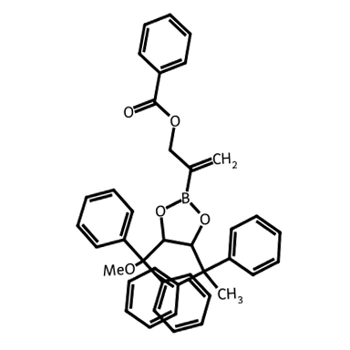 C=C(COC(=O)c1ccccc1)B1OC(C(C)(c2ccccc2)c2ccccc2)C(C(OC)(c2ccccc2)c2ccccc2)O1